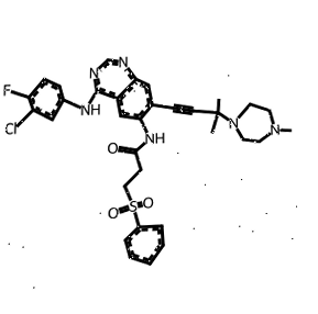 CN1CCN(C(C)(C)C#Cc2cc3ncnc(Nc4ccc(F)c(Cl)c4)c3cc2NC(=O)CCS(=O)(=O)c2ccccc2)CC1